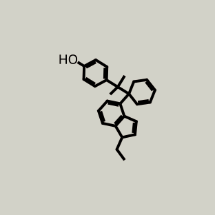 CCC1C=Cc2c1cccc2C1(C(C)(C)c2ccc(O)cc2)C=CC=CC1